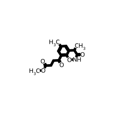 COC(=O)CCC(=O)c1cc(C)cc2c1ONC(=O)C2C